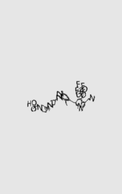 Cc1c(-c2cc(OS(=O)(=O)C(F)(F)F)c3c(C#N)cnn3c2)cnn1C1CN([C@H]2CCN(C(=O)O)C2)C1